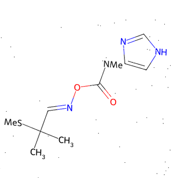 CNC(=O)O/N=C/C(C)(C)SC.c1c[nH]cn1